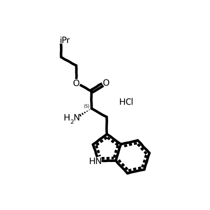 CC(C)CCOC(=O)[C@@H](N)Cc1c[nH]c2ccccc12.Cl